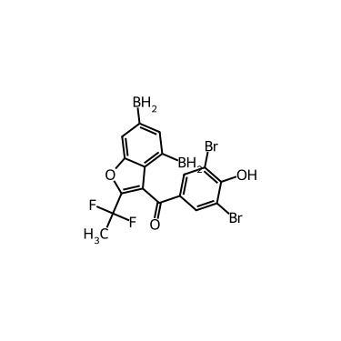 Bc1cc(B)c2c(C(=O)c3cc(Br)c(O)c(Br)c3)c(C(C)(F)F)oc2c1